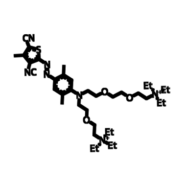 [C-]#[N+]c1c(/N=N/c2cc(C)c(N(CCOCCOCC[N+](CC)(CC)CC)CCOCC[N+](CC)(CC)CC)cc2C)sc(C#N)c1C